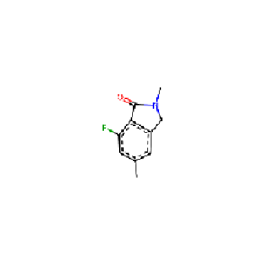 Cc1cc(F)c2c(c1)CN(C)C2=O